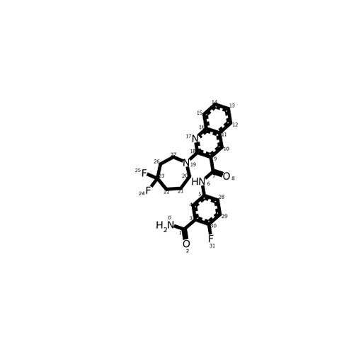 NC(=O)c1cc(NC(=O)c2cc3ccccc3nc2N2CCCC(F)(F)CC2)ccc1F